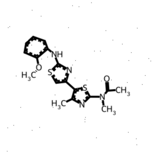 COc1ccccc1Nc1nc(-c2sc(N(C)C(C)=O)nc2C)cs1